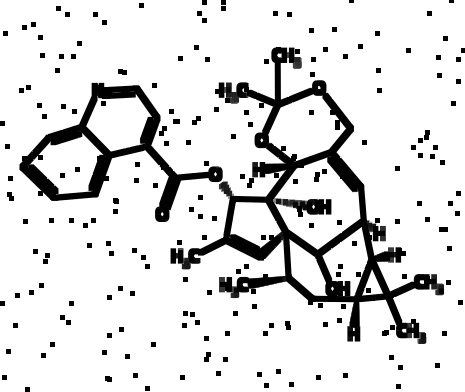 CC1=C[C@]23C(O)[C@@H](C=C4COC(C)(C)O[C@H]4[C@]2(O)[C@H]1OC(=O)c1ccnc2ccccc12)[C@H]1[C@@H](C[C@H]3C)C1(C)C